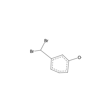 [O]c1cccc(C(Br)Br)c1